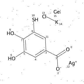 O=C([O-])c1cc(O)c(O)c(S)c1.[Ag+].[Cl][K].[Ge]